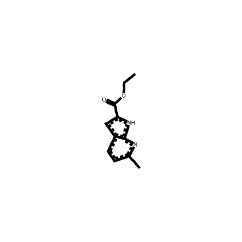 CCOC(=O)c1cc2ccc(C)nc2[nH]1